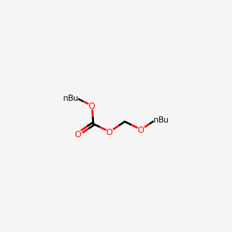 CCCCOCOC(=O)OCCCC